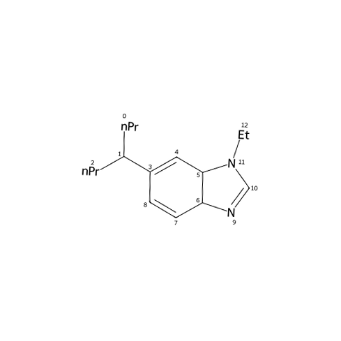 CCCC(CCC)C1=CC2C(C=C1)N=CN2CC